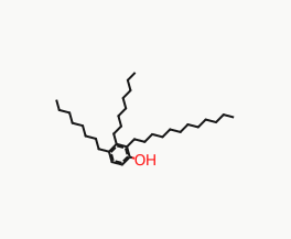 CCCCCCCCCCCCc1c(O)ccc(CCCCCCCC)c1CCCCCCCC